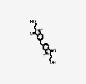 O=C1c2ccc(Cc3ccc4c(c3)C(=O)N(CCO)C4=O)cc2C(=O)N1CCO